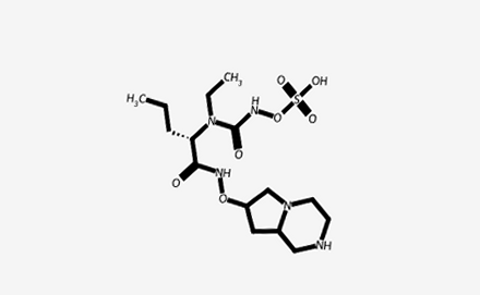 CCC[C@@H](C(=O)NOC1CC2CNCCN2C1)N(CC)C(=O)NOS(=O)(=O)O